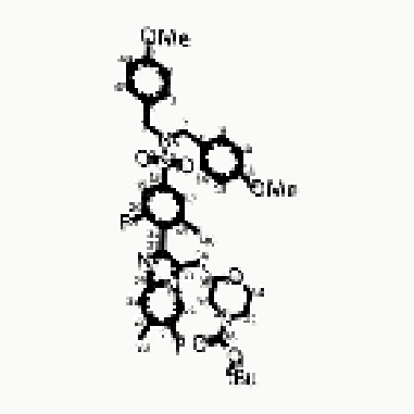 COc1ccc(CN(Cc2ccc(OC)cc2)S(=O)(=O)c2cc(F)c(-c3nc4cc(C)c(F)cn4c3C[C@H]3CN(C(=O)OC(C)(C)C)CCO3)c(I)c2)cc1